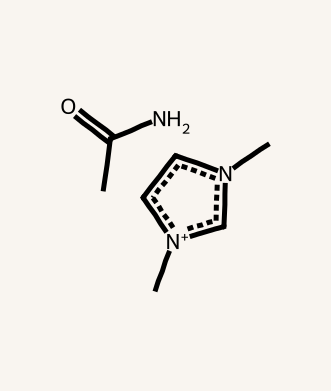 CC(N)=O.Cn1cc[n+](C)c1